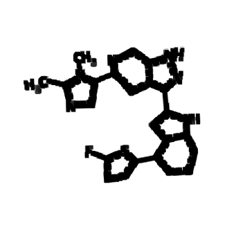 Cc1ncc(-c2cc3c(-c4cc5c(-c6ccc(F)s6)cccc5[nH]4)n[nH]c3cn2)n1C